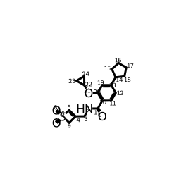 O=C(NCC1=CS(=O)(=O)C1)c1ccc(C2CCCC2)cc1OC1CC1